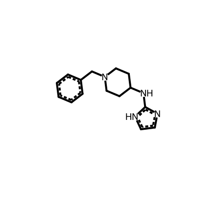 c1ccc(CN2CCC(Nc3ncc[nH]3)CC2)cc1